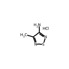 Cc1nsnc1N.Cl